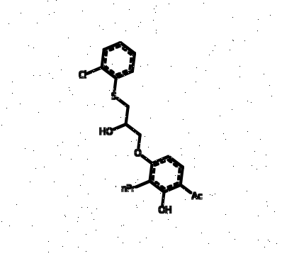 CCCc1c(OCC(O)CSc2ccccc2Cl)ccc(C(C)=O)c1O